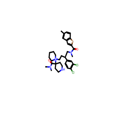 Cc1ccc2sc(C(=O)N(C)CC(CC[N+]3(C4(C(=O)N(C)C)CCNCC4)CCCCC3)c3ccc(Cl)c(Cl)c3)cc2c1